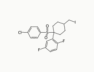 O=S(=O)(c1ccc(Cl)cc1)C1(c2cc(F)ccc2F)CCC(CI)CC1